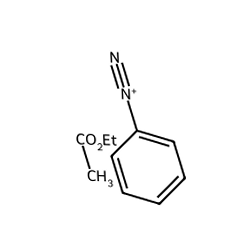 CCOC(C)=O.N#[N+]c1ccccc1